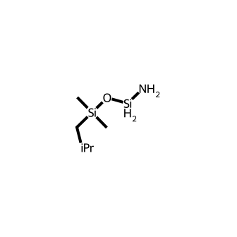 CC(C)C[Si](C)(C)O[SiH2]N